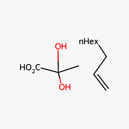 C=CCCCCCCC.CC(O)(O)C(=O)O